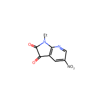 CCN1C(=O)C(=O)c2cc([N+](=O)[O-])cnc21